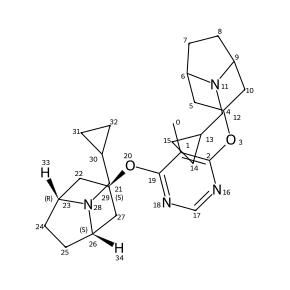 Cc1c(OC2CC3CCC(C2)N3CC2CC2)ncnc1O[C@@H]1C[C@H]2CC[C@@H](C1)N2CC1CC1